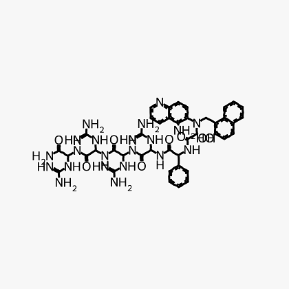 N=C(N)NC(NC(=O)C(NC(=N)N)NC(=O)C(NC(=N)N)NC(=O)C(NC(=N)N)NC(=O)C(NC(=O)C(O)N(Cc1c(O)ccc2ccccc12)c1ccc2ncccc2c1N)c1ccccc1)C(N)=O